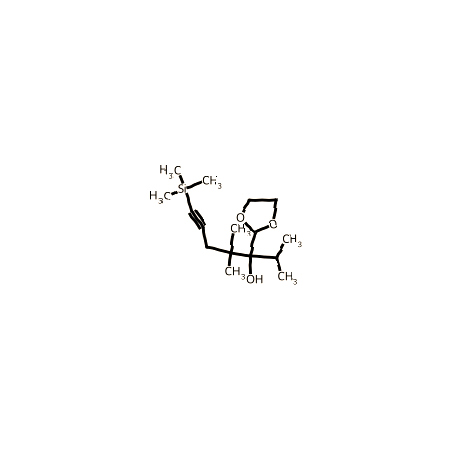 CC(C)C(O)(C1OCCO1)C(C)(C)CC#C[Si](C)(C)C